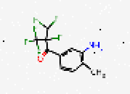 Cc1ccc(C(=O)C(F)(C(F)F)C(F)(F)F)cc1N